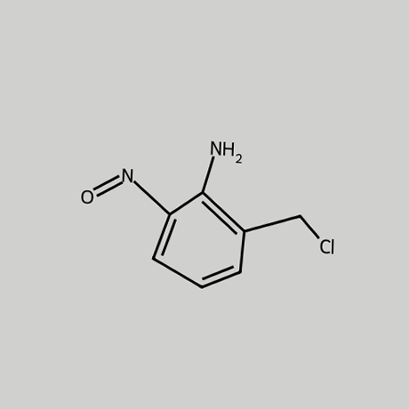 Nc1c(CCl)cccc1N=O